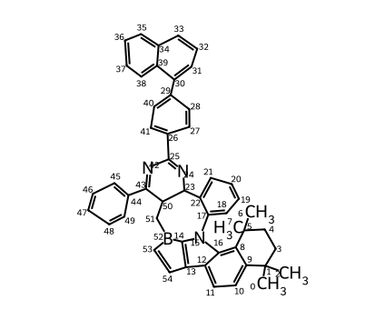 CC1(C)CCC(C)(C)c2c1ccc1c3c4n(c21)-c1ccccc1C1N=C(c2ccc(-c5cccc6ccccc56)cc2)N=C(c2ccccc2)C1CB4C=C3